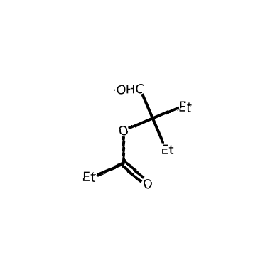 CCC(=O)OC([C]=O)(CC)CC